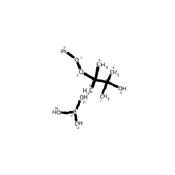 CC(C)OOC(C)(C)C(C)(C)O.OB(O)O